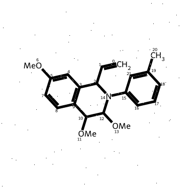 C=CC1c2cc(OC)ccc2C(OC)C(OC)N1c1cccc(C)c1